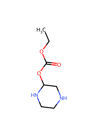 CCOC(=O)OC1CNCCN1